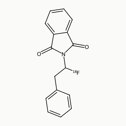 O=C1c2ccccc2C(=O)N1C([18F])Cc1ccccc1